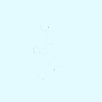 c1ccc(-c2nc(-n3c4ccccc4c4c5c6ccc7ccccc7c6n(-c6ccccc6)c5c5ccccc5c43)nc3c2sc2ccccc23)cc1